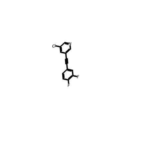 Fc1ccc(C#Cc2cncc(Cl)c2)cc1F